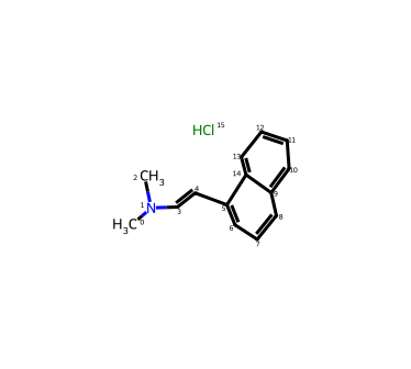 CN(C)C=Cc1cccc2ccccc12.Cl